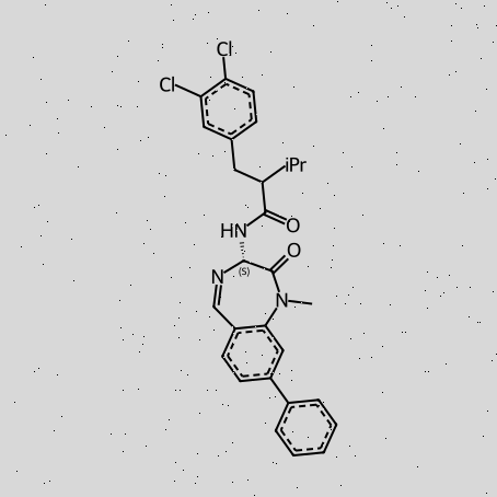 CC(C)C(Cc1ccc(Cl)c(Cl)c1)C(=O)N[C@H]1N=Cc2ccc(-c3ccccc3)cc2N(C)C1=O